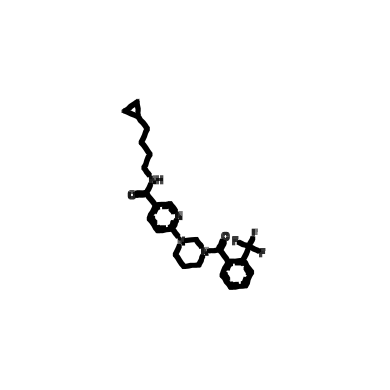 O=C(NCCCCC1CC1)c1ccc(N2CCCN(C(=O)c3ccccc3C(F)(F)F)C2)nc1